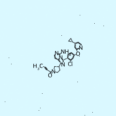 CC#CC(=O)N1CCC(c2nc(-c3ccc(Oc4cc(C5CC5)ccn4)cc3Cl)n3c(N)nccc23)C1